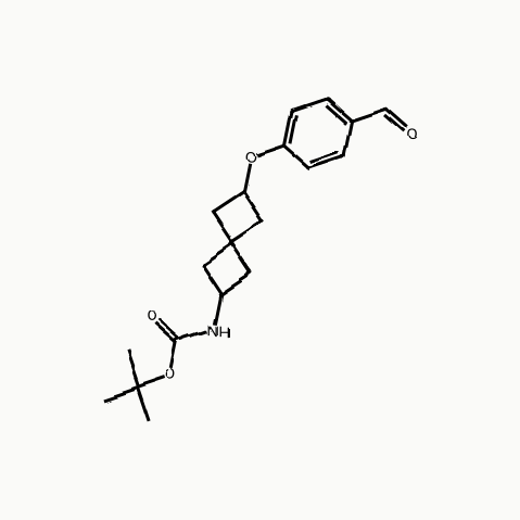 CC(C)(C)OC(=O)NC1CC2(C1)CC(Oc1ccc(C=O)cc1)C2